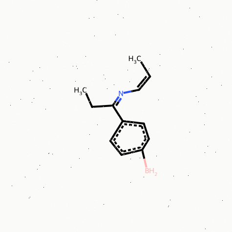 Bc1ccc(/C(CC)=N\C=C/C)cc1